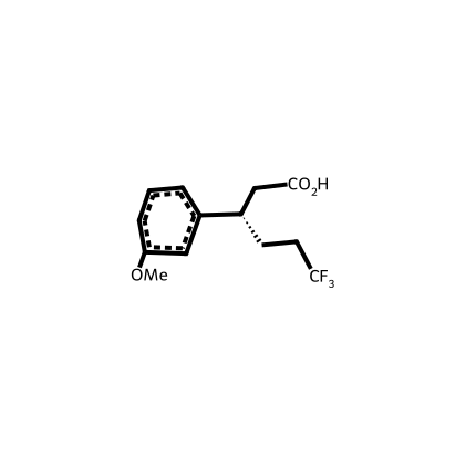 COc1cccc([C@@H](CCC(F)(F)F)CC(=O)O)c1